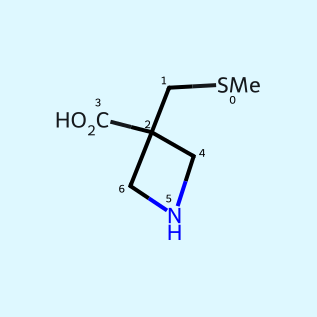 CSCC1(C(=O)O)CNC1